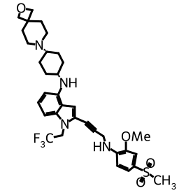 COc1cc(S(C)(=O)=O)ccc1NCC#Cc1cc2c(N[C@H]3CC[C@@H](N4CCC5(CC4)COC5)CC3)cccc2n1CC(F)(F)F